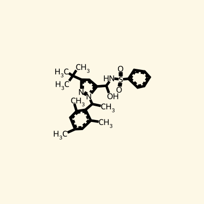 Cc1cc(C)c(C(C)n2nc(C(C)(C)C)cc2C(O)NS(=O)(=O)c2ccccc2)c(C)c1